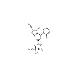 CC(C)(C)OC(=O)N1Cc2sc(C#N)c(Cl)c2C(c2ccccc2Br)C1